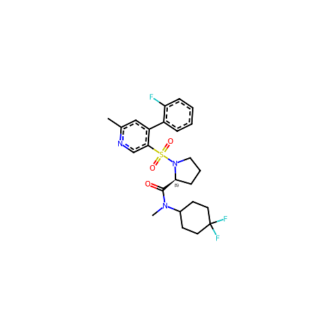 Cc1cc(-c2ccccc2F)c(S(=O)(=O)N2CCC[C@H]2C(=O)N(C)C2CCC(F)(F)CC2)cn1